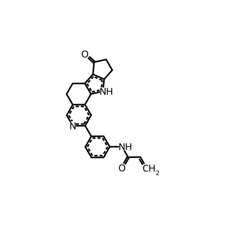 C=CC(=O)Nc1cccc(-c2cc3c(cn2)CCc2c-3[nH]c3c2C(=O)CC3)c1